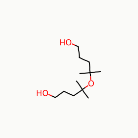 CC(C)(CCCO)OC(C)(C)CCCO